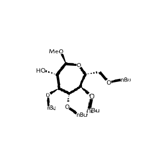 CCCCOC[C@H]1O[C@H](OC)[C@@H](O)[C@H](OCCCC)[C@@H](OCCCC)[C@@H]1OCCCC